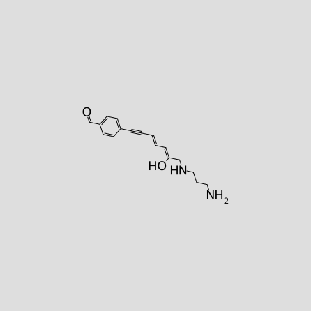 NCCCNC/C(O)=C/C=C/C#Cc1ccc(C=O)cc1